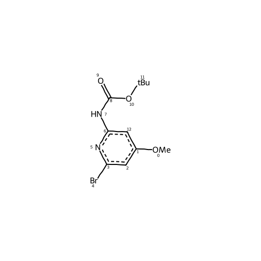 COc1cc(Br)nc(NC(=O)OC(C)(C)C)c1